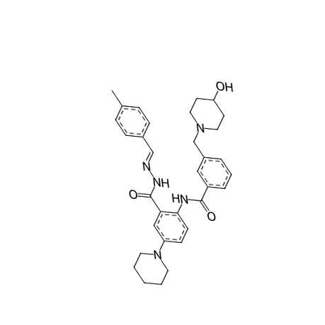 Cc1ccc(/C=N/NC(=O)c2cc(N3CCCCC3)ccc2NC(=O)c2cccc(CN3CCC(O)CC3)c2)cc1